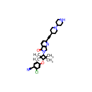 CC1(C)[C@H](Oc2ccc(C#N)c(Cl)c2)C(C)(C)[C@H]1N1Cc2nc(C#CC3CCN(C4CCNCC4)CC3)ccc2C1=O